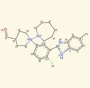 Cc1ccc2[nH]c(-c3cc([N+]4(N5CCCCCC5)CCC(C=O)CC4)ccc3F)nc2c1